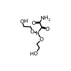 NC(=O)C(=O)N(OCCO)OCCO